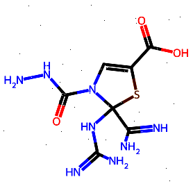 N=C(N)NC1(C(=N)N)SC(C(=O)O)=CN1C(=O)NN